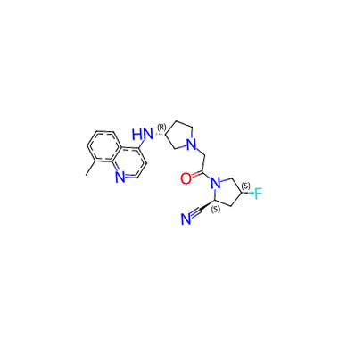 Cc1cccc2c(N[C@@H]3CCN(CC(=O)N4C[C@@H](F)C[C@H]4C#N)C3)ccnc12